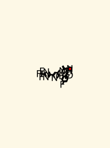 C=C(NCc1cc(-c2cnc(C(F)(F)F)nc2)ncc1Br)C1C2CC(C2)N1S(=O)(=O)c1ccc(F)cc1